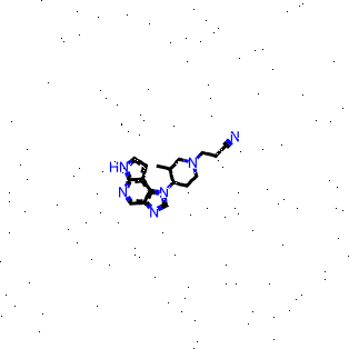 CC1CN(CCC#N)CCC1n1cnc2cnc3[nH]ccc3c21